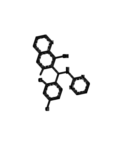 Cc1cc2cccnc2c(O)c1C(Nc1ncccn1)c1ccc(Cl)cc1Cl